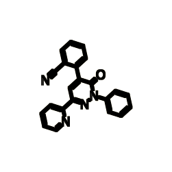 N#Cc1ccccc1-c1cc(-c2ccccn2)nn(-c2ccccc2)c1=O